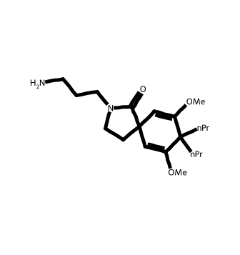 CCCC1(CCC)C(OC)=CC2(C=C1OC)CCN(CCCN)C2=O